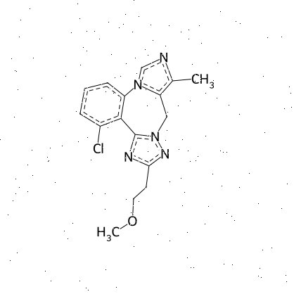 COCCc1nc2n(n1)Cc1c(C)ncn1-c1cccc(Cl)c1-2